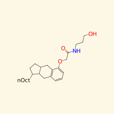 CCCCCCCCC1CCC2Cc3c(cccc3OCC(=O)NCCCO)CC12